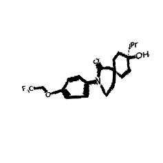 CC(C)[C@]1(O)CC[C@]2(CCN(c3ccc(OCC(F)(F)F)cc3)C2=O)CC1